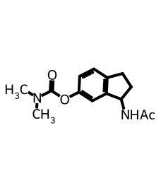 CC(=O)NC1CCc2ccc(OC(=O)N(C)C)cc21